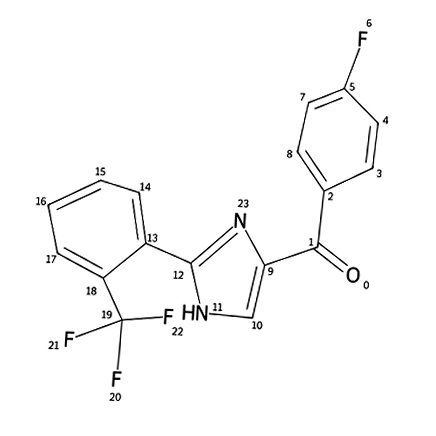 O=C(c1ccc(F)cc1)c1c[nH]c(-c2ccccc2C(F)(F)F)n1